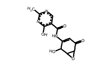 Cc1ncc(C(=O)NC2=CC(=O)C3OC3C2O)c(O)n1